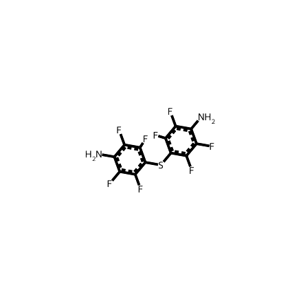 Nc1c(F)c(F)c(Sc2c(F)c(F)c(N)c(F)c2F)c(F)c1F